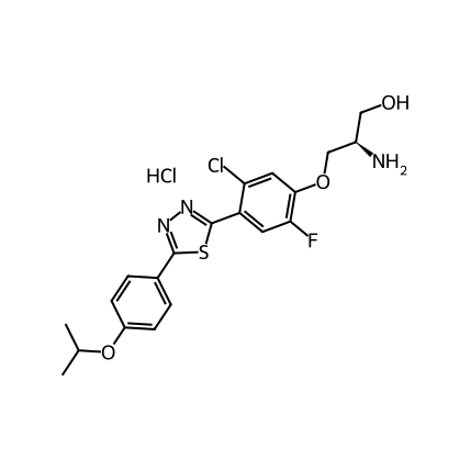 CC(C)Oc1ccc(-c2nnc(-c3cc(F)c(OC[C@H](N)CO)cc3Cl)s2)cc1.Cl